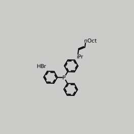 Br.CCCCCCCCC=CC(C)C.c1ccc(P(c2ccccc2)c2ccccc2)cc1